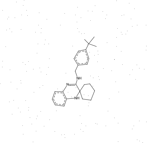 CC(C)(C)c1ccc(CNC2=Nc3ccccc3NC23CCCCC3)cc1